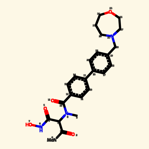 CNC(=O)C(C(=O)NO)N(C)C(=O)c1ccc(-c2ccc(CN3CCCOCC3)cc2)cc1